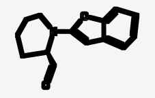 O=C[C@H]1CCCCN1c1cc2ccccc2o1